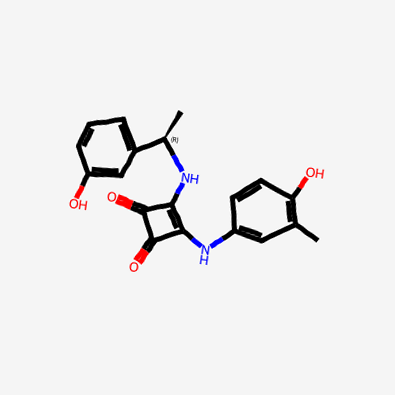 Cc1cc(Nc2c(N[C@H](C)c3cccc(O)c3)c(=O)c2=O)ccc1O